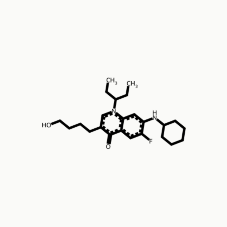 CCC(CC)n1cc(CCCCO)c(=O)c2cc(F)c(NC3CCCCC3)cc21